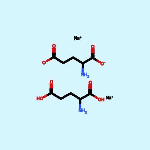 NC(CCC(=O)O)C(=O)O.NC(CCC(=O)[O-])C(=O)[O-].[Na+].[Na+]